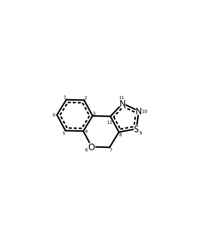 c1ccc2c(c1)OCc1snnc1-2